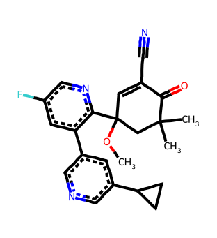 COC1(c2ncc(F)cc2-c2cncc(C3CC3)c2)C=C(C#N)C(=O)C(C)(C)C1